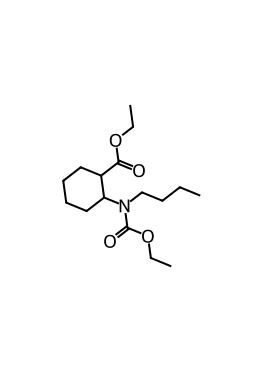 CCCCN(C(=O)OCC)C1CCCCC1C(=O)OCC